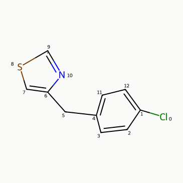 Clc1ccc(Cc2cs[c]n2)cc1